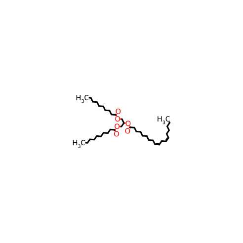 CCCCC/C=C\C/C=C\CCCCCCCC(=O)OC(COC(=O)CCCCCCCCC)COC(=O)CCCCCCCCC